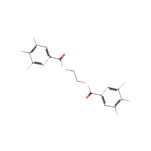 O=C(OCCOC(=O)c1cc(I)c(O)c(I)c1)c1cc(I)c(O)c(I)c1